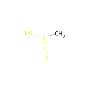 CS(=S)S